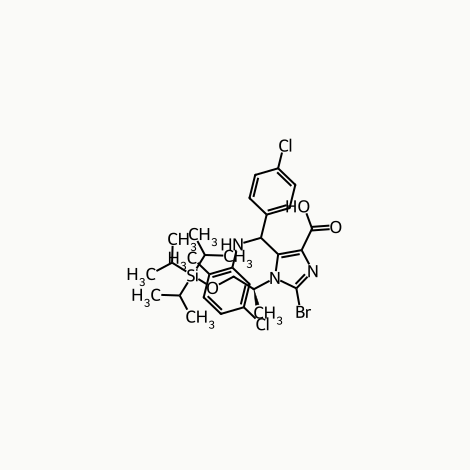 Cc1ccc(Cl)cc1NC(c1ccc(Cl)cc1)c1c(C(=O)O)nc(Br)n1[C@@H](C)CO[Si](C(C)C)(C(C)C)C(C)C